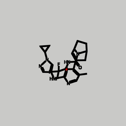 Cc1cnc(Nc2cnn(C3CC3)c2)nc1C1=CC2CCC(C1)N2C(=O)NCC(F)(F)F